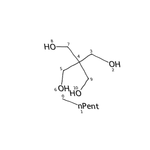 CCCCCC.OCC(CO)(CO)CO